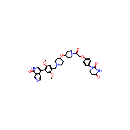 COc1cc(-c2c[nH]c(=O)c3cnccc23)c(OC)cc1CN1CCC(OC2CCN(C(=O)COc3ccc(N4CCC(=O)NC4=O)cc3)CC2)CC1